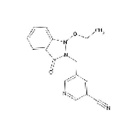 CCOn1c2ccccc2c(=O)n1Cc1cncc(C#N)c1